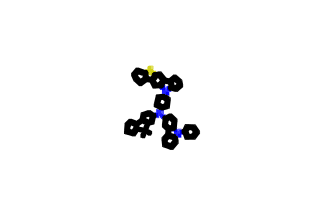 CC1(C)c2ccccc2-c2ccc(N(c3ccc(-n4c5ccccc5c5cc6sc7ccccc7c6cc54)cc3)c3ccc4c(c3)c3ccccc3n4-c3ccccc3)cc21